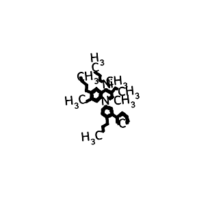 CCCCc1cc([C](=C(CC)C(C)=Nc2ccc(CCCC)c(-c3ccccc3)c2)[Ni]([CH3])[CH2]CCC)ccc1CC